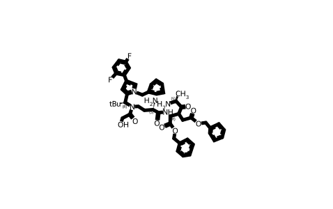 C[C@H](N)C(=O)C(CC(=O)OCc1ccccc1)[C@@H](NC(=O)[C@@H](N)CCN(C(=O)CO)[C@@H](c1cc(-c2cc(F)ccc2F)cn1Cc1ccccc1)C(C)(C)C)C(=O)OCc1ccccc1